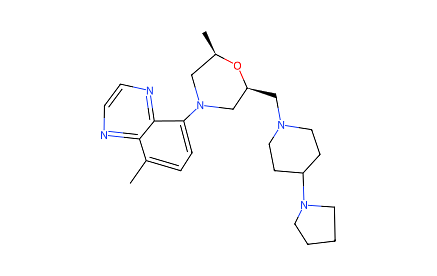 Cc1ccc(N2C[C@H](CN3CCC(N4CCCC4)CC3)O[C@H](C)C2)c2nccnc12